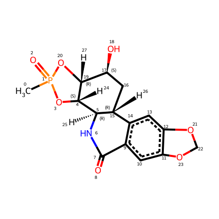 CP1(=O)O[C@H]2[C@@H]3NC(=O)c4cc5c(cc4[C@H]3C[C@H](O)[C@H]2O1)OCO5